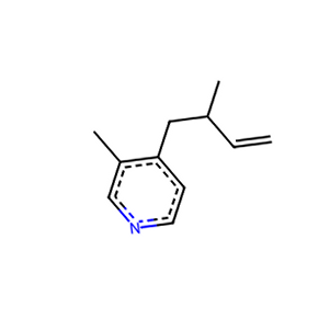 C=CC(C)Cc1ccncc1C